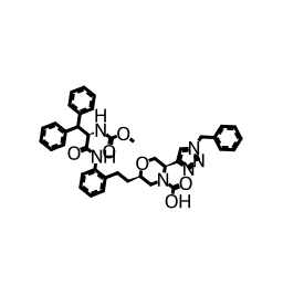 COC(=O)N[C@H](C(=O)Nc1ccccc1CC[C@@H]1CN(C(=O)O)[C@H](c2cn(Cc3ccccc3)nn2)CO1)C(c1ccccc1)c1ccccc1